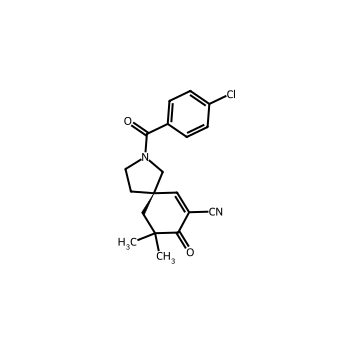 CC1(C)C[C@@]2(C=C(C#N)C1=O)CCN(C(=O)c1ccc(Cl)cc1)C2